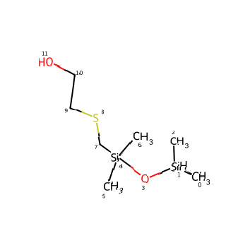 C[SiH](C)O[Si](C)(C)CSCCO